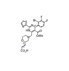 COC(=O)C1=C(CN2CCO[C@H](/C=C/C(=O)O)C2)NC(c2nccs2)=N[C@H]1c1ccc(F)c(F)c1Br